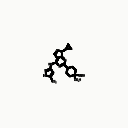 COC1(C(=O)O)CCC(c2nc(Nc3cc(C)[nH]n3)c3cnn(C4CC4)c3n2)CC1